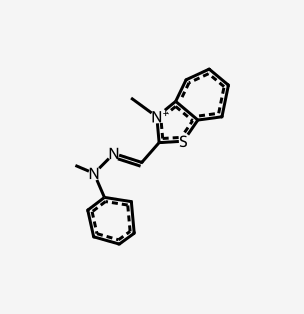 CN(N=Cc1sc2ccccc2[n+]1C)c1ccccc1